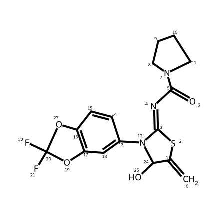 C=C1S/C(=N\C(=O)N2CCCC2)N(c2ccc3c(c2)OC(F)(F)O3)C1O